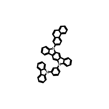 c1cc(-n2c3ccccc3c3ccccc32)cc(-n2c3ccccc3c3cc4c(cc32)c2ccccc2n4-c2ccc3c(ccc4ccccc43)c2)c1